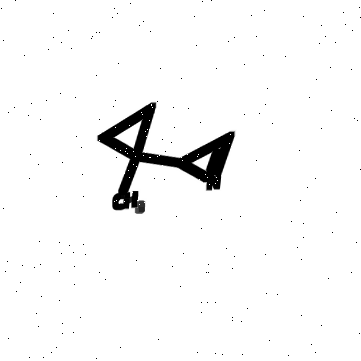 CC1(C2C=N2)CC1